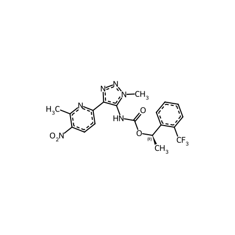 Cc1nc(-c2nnn(C)c2NC(=O)O[C@H](C)c2ccccc2C(F)(F)F)ccc1[N+](=O)[O-]